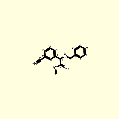 COC(=O)C(OCc1ccccc1)c1cccc(C#N)c1